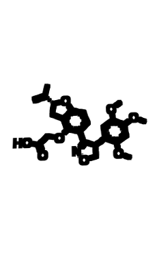 C=C(C)[C@H]1Cc2c(ccc(C3=NOCC3c3cc(OC)c(OC)cc3OC)c2OCC(=O)O)O1